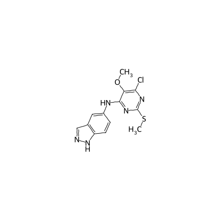 COc1c(Cl)nc(SC)nc1Nc1ccc2[nH]ncc2c1